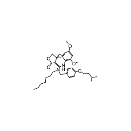 CCCCCCCN(Cc1ccc(OCCC(C)C)cc1)C(Nc1ccc(OC)cc1OC)=C1C(=O)COC1=O